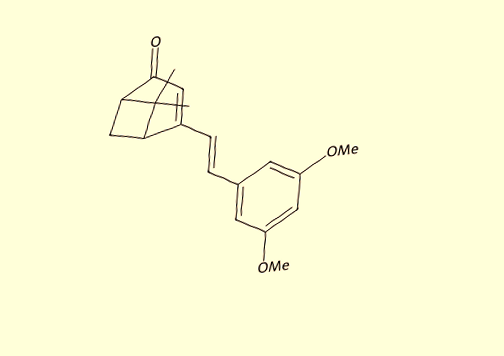 COc1cc(C=CC2=CC(=O)C3CC2C3(C)C)cc(OC)c1